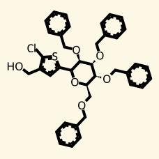 OCc1cc(C2O[C@H](COCc3ccccc3)[C@@H](OCc3ccccc3)[C@@H](OCc3ccccc3)[C@@H]2OCc2ccccc2)sc1Cl